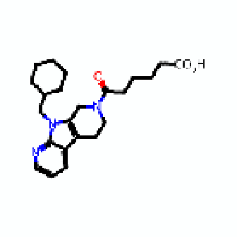 O=C(O)CCCCC(=O)N1CCc2c(n(CC3CCCCC3)c3ncccc23)C1